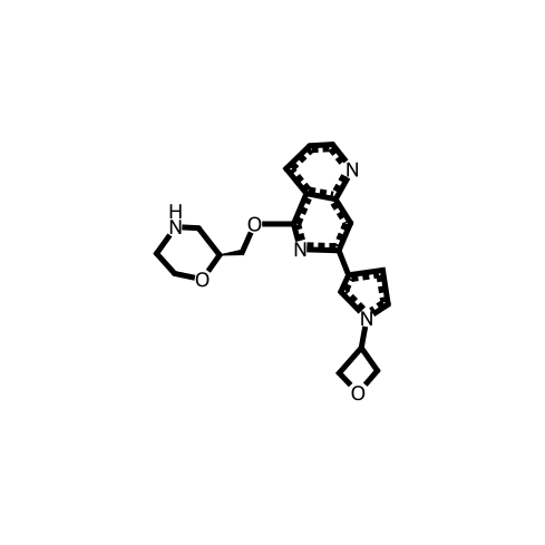 c1cnc2cc(-c3ccn(C4COC4)c3)nc(OC[C@@H]3CNCCO3)c2c1